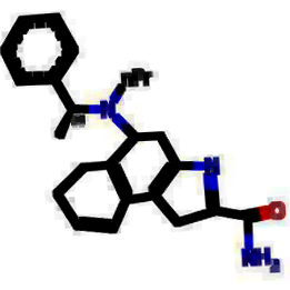 CCCN(C1CC2=C(CC(C(N)=O)=N2)C2=C1CCC=C2)[C@@H](C)c1ccccc1